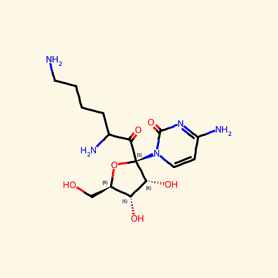 NCCCCC(N)C(=O)[C@@]1(n2ccc(N)nc2=O)O[C@H](CO)[C@@H](O)[C@H]1O